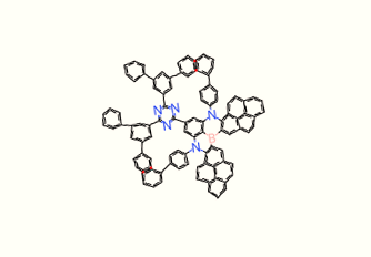 c1ccc(-c2ccc(N3c4cc(-c5nc(-c6cc(-c7ccccc7)cc(-c7ccccc7)c6)nc(-c6cc(-c7ccccc7)cc(-c7ccccc7)c6)n5)cc5c4B(c4cc6ccc7cccc8ccc(c43)c6c78)c3cc4ccc6cccc7ccc(c3N5c3ccc(-c5ccccc5)cc3)c4c67)cc2)cc1